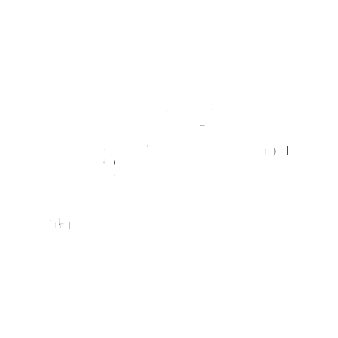 CCCc1cc2cc(O)ccc2o1